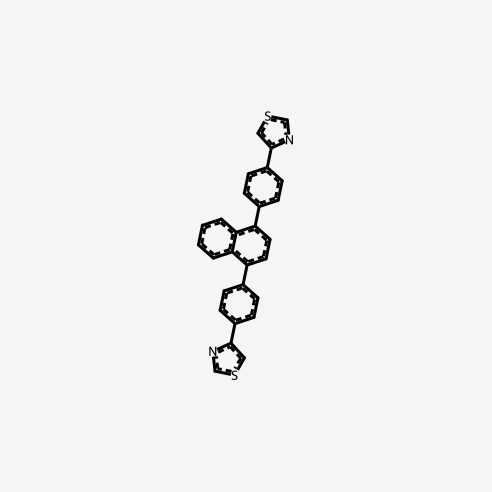 c1ccc2c(-c3ccc(-c4cscn4)cc3)ccc(-c3ccc(-c4cscn4)cc3)c2c1